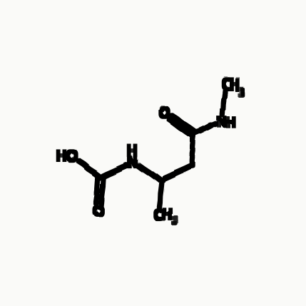 CNC(=O)CC(C)NC(=O)O